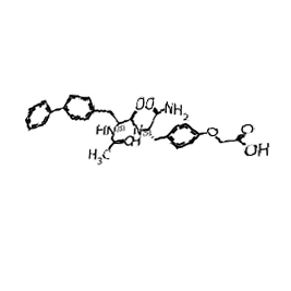 CC(=O)N[C@@H](Cc1ccc(-c2ccccc2)cc1)C(=O)N[C@@H](Cc1ccc(OCC(=O)O)cc1)C(N)=O